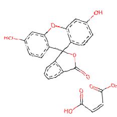 O=C(O)/C=C\C(=O)O.O=C1OC2(c3ccc(O)cc3Oc3cc(O)ccc32)c2ccccc21